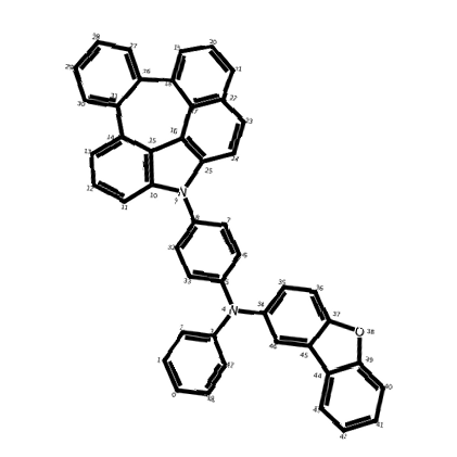 c1ccc(N(c2ccc(-n3c4cccc5c4c4c6c(cccc6ccc43)-c3ccccc3-5)cc2)c2ccc3oc4ccccc4c3c2)cc1